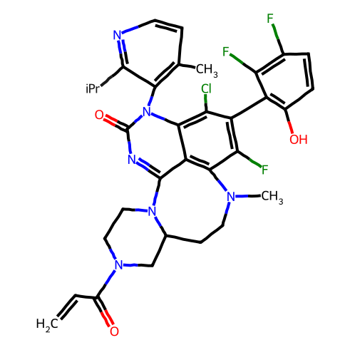 C=CC(=O)N1CCN2c3nc(=O)n(-c4c(C)ccnc4C(C)C)c4c(Cl)c(-c5c(O)ccc(F)c5F)c(F)c(c34)N(C)CCC2C1